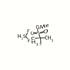 COS(=O)(=O)C(C)(C)F.F[SiH2]F